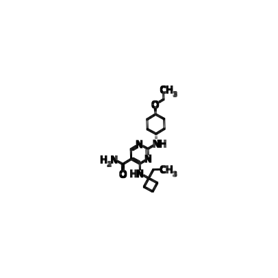 CCO[C@H]1CC[C@H](Nc2ncc(C(N)=O)c(NC3(CC)CCC3)n2)CC1